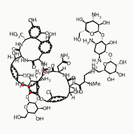 CN[C@H](CC(C)C)C(=O)N[C@H]1C(=O)N[C@@H](CC(N)=O)C(=O)N[C@H]2C(=O)N[C@H]3C(=O)N[C@H](C(=O)N[C@H](C(=O)O)c4cc(O)cc(O)c4-c4cc3ccc4O)[C@H](O)c3ccc(c(Cl)c3)Oc3cc2cc(c3O[C@@H]2O[C@H](CO)[C@@H](O)[C@H](O)[C@H]2O[C@H]2C[C@](C)(N)[C@H](O)[C@H](C)O2)Oc2ccc(cc2Cl)[C@H]1O.NC[C@H]1O[C@H](O[C@H]2[C@H](O)[C@@H](O[C@H]3O[C@H](CO)[C@@H](O)[C@H](N)[C@H]3O)[C@H](N)C[C@@H]2N)[C@H](O)[C@@H](O)[C@@H]1O